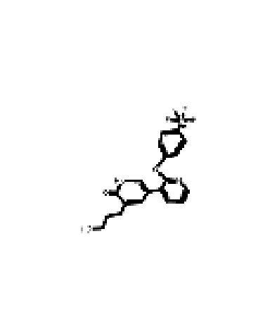 O=c1[nH]cc(-c2cccnc2Oc2ccc(S(F)(F)(F)(F)F)cc2)cc1CCCO